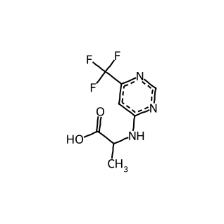 CC(Nc1cc(C(F)(F)F)ncn1)C(=O)O